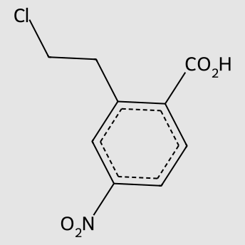 O=C(O)c1ccc([N+](=O)[O-])cc1CCCl